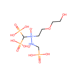 O=P(O)(O)C[NH+]([O-])[N+]([O-])(CCOCCO)C(P(=O)(O)O)P(=O)(O)O